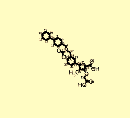 CC(=O)N(Cc1ccc(-c2ccccc2)cc1)Cc1cccc(-c2sc(C(=O)O)c(OCC(=O)O)c2C)c1